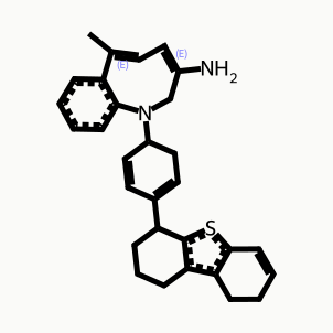 C/C1=C\C=C(\N)CN(C2C=CC(C3CCCc4c3sc3c4CCC=C3)=CC2)c2ccccc21